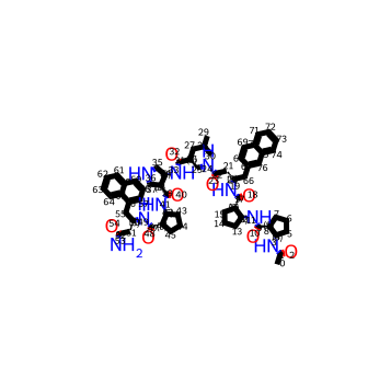 CC(=O)N[C@H]1CCC[C@@H]1C(=O)N[C@H]1CCC[C@@H]1C(=O)N[C@H](CC(=O)NC[C@H](CC(C)C)C(=O)N[C@H]1CNC[C@@H]1C(=O)N[C@H]1CCC[C@@H]1C(=O)N[C@H](CC(N)=O)Cc1cccc2ccccc12)Cc1ccc2ccccc2c1